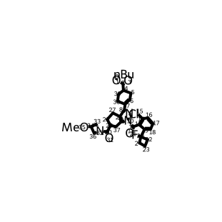 CCCCOC(=O)C1CC=C(c2nn(C(=O)c3c(Cl)cccc3C3(F)CCC3)c3c2CCC(C(=O)N2CC(OC)C2)C3)CC1